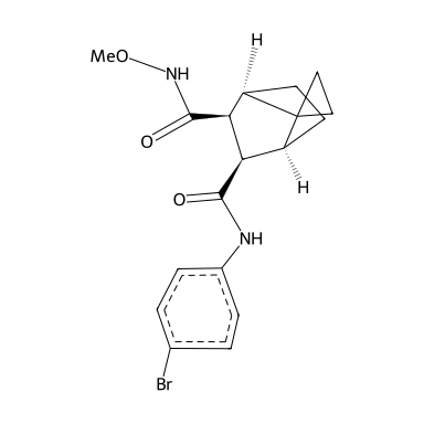 CONC(=O)[C@@H]1[C@H](C(=O)Nc2ccc(Br)cc2)[C@@H]2CC[C@H]1C21CC1